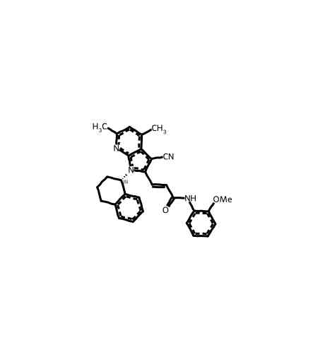 COc1ccccc1NC(=O)C=Cc1c(C#N)c2c(C)cc(C)nc2n1[C@H]1CCCc2ccccc21